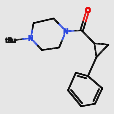 CC(C)(C)N1CCN(C(=O)C2CC2c2ccccc2)CC1